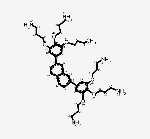 CCCCOc1cc(-c2ccc3ccc(-c4cc(OCCCN)c(OCCCN)c(OCCCN)c4)cc3c2)cc(OCCCN)c1OCCCN